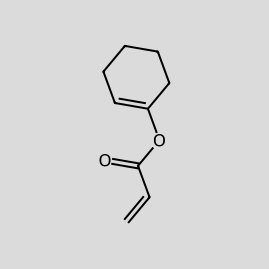 C=CC(=O)OC1=CCCCC1